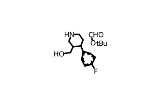 CC(C)(C)OC=O.OCC1CNCCC1c1ccc(F)cc1